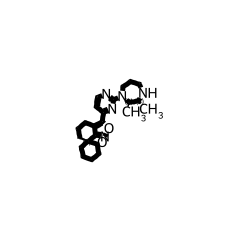 C[C@@H]1NCCCN(c2nccc(-c3onc4c3CCC[C@@]43CCCCC3=O)n2)[C@H]1C